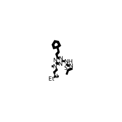 CCN(C)CCN(C)c1nc(/C=C/c2ccccc2)nc(Nc2ncc(C)s2)n1